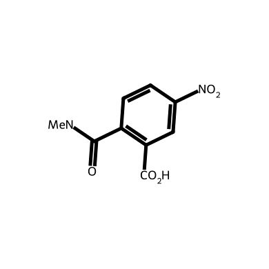 CNC(=O)c1ccc([N+](=O)[O-])cc1C(=O)O